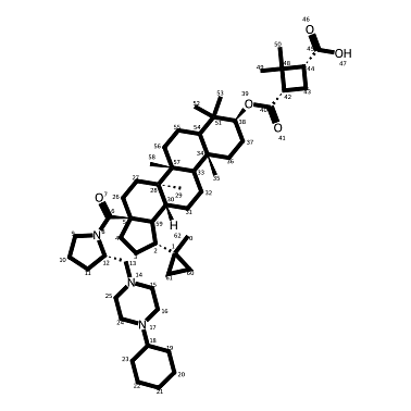 CC1([C@@H]2CC[C@]3(C(=O)N4CCC[C@H]4CN4CCN(C5CCCCC5)CC4)CC[C@]4(C)[C@H](CCC5[C@@]6(C)CC[C@H](OC(=O)[C@H]7C[C@@H](C(=O)O)C7(C)C)C(C)(C)C6CC[C@]54C)C23)CC1